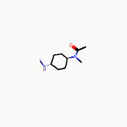 CC(=O)N(C)[C@H]1CC[C@H](NI)CC1